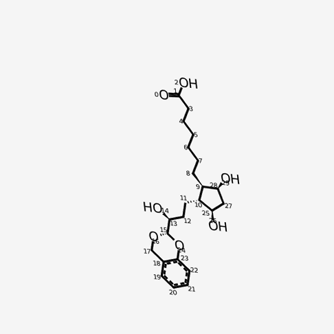 O=C(O)CCCCCC[C@@H]1[C@@H](CC[C@H](O)[C@H]2OCc3ccccc3O2)[C@H](O)C[C@@H]1O